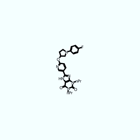 CCCn1c(=O)c2[nH]c(-c3ccc(OC4CCN(c5ccc(F)cc5)C4)nc3)nc2n(CCC)c1=O